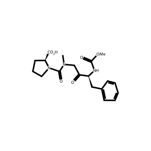 COC(=O)N[C@@H](Cc1ccccc1)C(=O)CN(C)C(=O)N1CCC[C@H]1C(=O)O